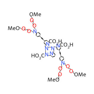 COCCOCCOCCN(CCOCCOCCOC)c1ccc(C#Cc2cc(CN3CCN(CC(=O)O)Cc4cccc(n4)CN(Cc4cc(C#Cc5ccc(N(CCOCCOCCOC)CCOCCOCCOC)cc5)cc(C(=O)O)n4)CC3)nc(C(=O)O)c2)cc1